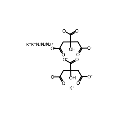 O=C([O-])CC(O)(CC(=O)[O-])C(=O)[O-].O=C([O-])CC(O)(CC(=O)[O-])C(=O)[O-].[K+].[K+].[K+].[Na+].[Na+].[Na+]